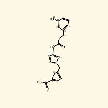 CC(=O)c1ccc(Cn2ccc(NC(=O)OCc3cccc(C)c3)n2)o1